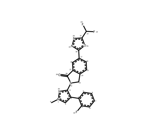 Cn1cc(-c2ccccc2F)c(N2Cc3ccc(-c4nnc(C(F)F)o4)cc3C2=O)n1